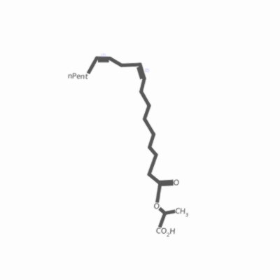 CCCCC/C=C\C/C=C\CCCCCCCC(=O)OC(C)C(=O)O